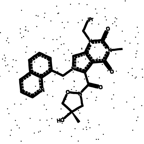 CC(C)Cn1c(=O)n(C)c(=O)c2c(C(=O)N3C[C@](C)(O)CO3)n(Cc3cccc4cccnc34)cc21